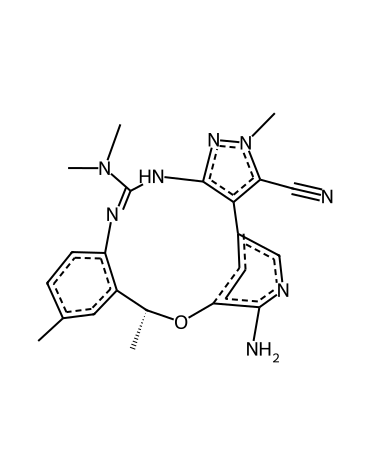 Cc1ccc2c(c1)[C@@H](C)Oc1cc(cnc1N)-c1c(nn(C)c1C#N)N/C(N(C)C)=N\2